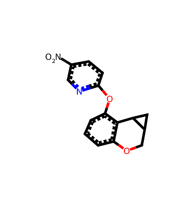 O=[N+]([O-])c1ccc(Oc2cccc3c2C2CC2CO3)nc1